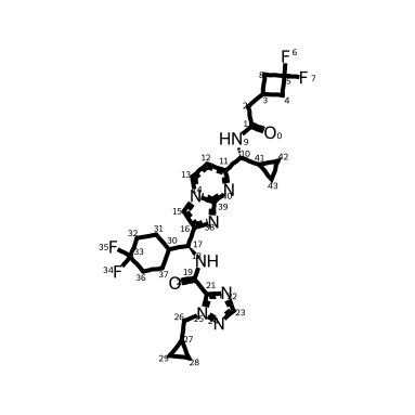 O=C(CC1CC(F)(F)C1)N[C@@H](c1ccn2cc([C@@H](NC(=O)c3ncnn3CC3CC3)C3CCC(F)(F)CC3)nc2n1)C1CC1